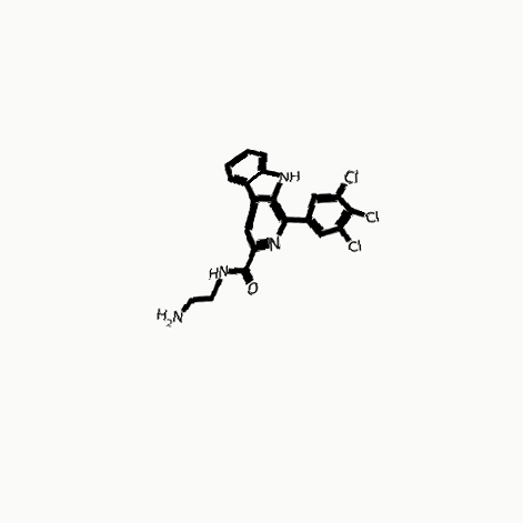 NCCNC(=O)c1cc2c([nH]c3ccccc32)c(-c2cc(Cl)c(Cl)c(Cl)c2)n1